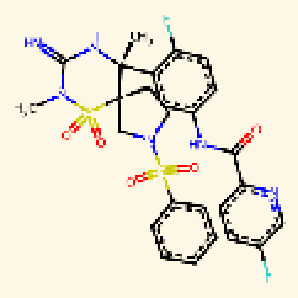 CN1C(=N)N[C@](C)(c2cc(NC(=O)c3ccc(F)cn3)ccc2F)[C@@]2(CCN(S(=O)(=O)c3ccccc3)C2)S1(=O)=O